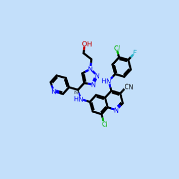 N#Cc1cnc2c(Cl)cc(N[C@@H](c3cccnc3)c3cn(CCO)nn3)cc2c1Nc1ccc(F)c(Cl)c1